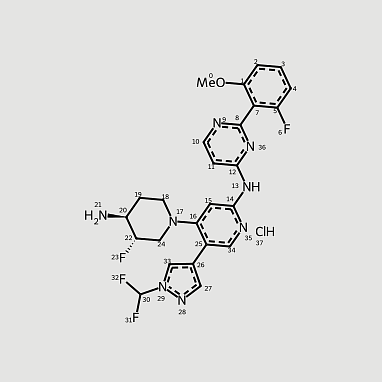 COc1cccc(F)c1-c1nccc(Nc2cc(N3CC[C@H](N)[C@@H](F)C3)c(-c3cnn(C(F)F)c3)cn2)n1.Cl